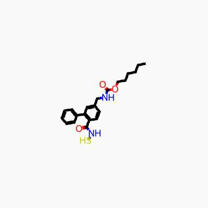 CCCCCCOC(=O)NCc1ccc(C(=O)NS)c(-c2ccccc2)c1